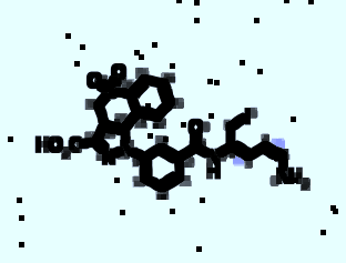 N/C=C\C=C(/CI)NC(=O)c1cccc(-n2nc(C(=O)O)c3c2-c2ccccc2S(=O)(=O)C3)c1